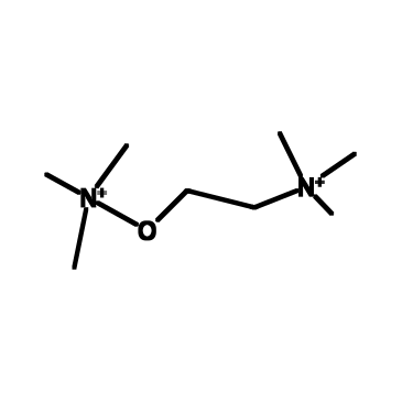 C[N+](C)(C)CCO[N+](C)(C)C